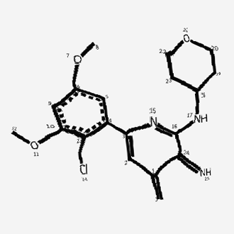 C=C1C=C(c2cc(OC)cc(OC)c2Cl)N=C(NC2CCOCC2)C1=N